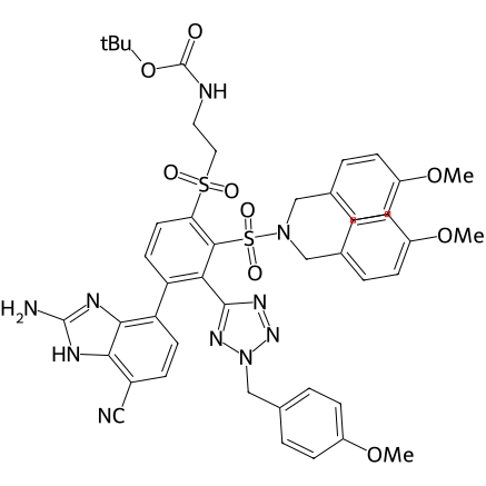 COc1ccc(CN(Cc2ccc(OC)cc2)S(=O)(=O)c2c(S(=O)(=O)CCNC(=O)OC(C)(C)C)ccc(-c3ccc(C#N)c4[nH]c(N)nc34)c2-c2nnn(Cc3ccc(OC)cc3)n2)cc1